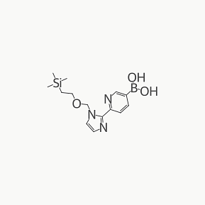 C[Si](C)(C)CCOCn1ccnc1-c1ccc(B(O)O)cn1